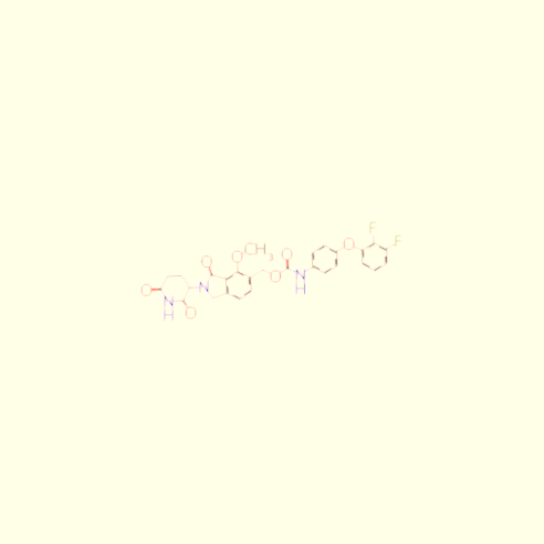 COc1c(COC(=O)Nc2ccc(Oc3cccc(F)c3F)cc2)ccc2c1C(=O)N(C1CCC(=O)NC1=O)C2